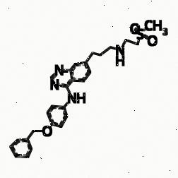 CS(=O)(=O)CCNCCCc1ccc2c(Nc3ccc(OCc4ccccc4)cc3)ncnc2c1